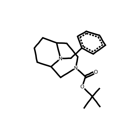 CC(C)(C)OC(=O)N1CCC2CCCC(C1)N2Cc1ccccc1